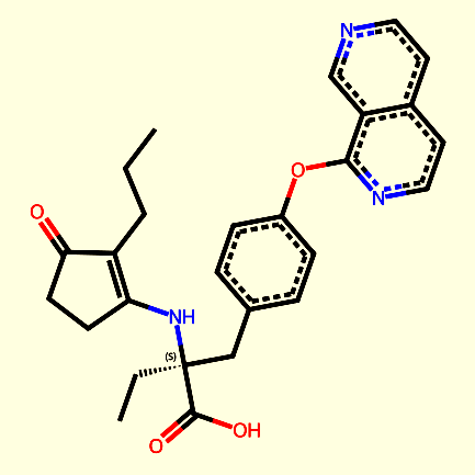 CCCC1=C(N[C@@](CC)(Cc2ccc(Oc3nccc4ccncc34)cc2)C(=O)O)CCC1=O